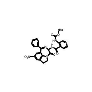 CC(C)(C)OC(=O)Nc1cnccc1C(=O)NC1N=C(c2ccccc2)c2cc([N+](=O)[O-])cc3c2N(CC3)C1=O